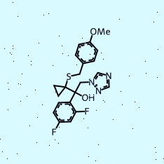 COc1ccc(CSC2(C(O)(Cn3cncn3)c3ccc(F)cc3F)CC2)cc1